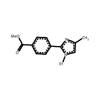 CCn1cc(C)nc1-c1ccc(C(=O)OC)cc1